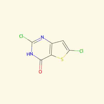 O=c1[nH]c(Cl)nc2cc(Cl)sc12